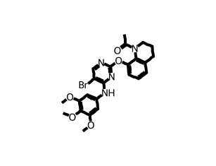 COc1cc(Nc2nc(Oc3cccc4c3N(C(C)=O)CCC4)ncc2Br)cc(OC)c1OC